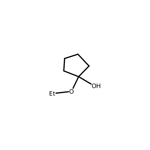 CCOC1(O)CCCC1